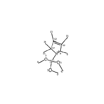 C[O][Ti]([O]C)([O]C)[C]1=C(C)C(C)=C(C)C1(C)C